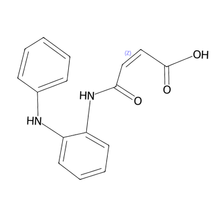 O=C(O)/C=C\C(=O)Nc1ccccc1Nc1ccccc1